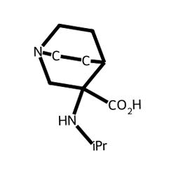 CC(C)NC1(C(=O)O)CN2CCC1CC2